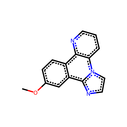 COc1ccc2c(c1)c1nccn1c1cccnc21